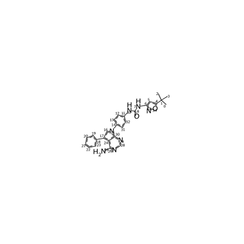 CC(C)(C)c1cc(NC(=O)Nc2ccc(-n3cc(-c4ccccc4)c4c(N)ncnc43)cc2)no1